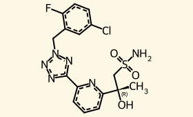 C[C@](O)(CS(N)(=O)=O)c1cccc(-c2nnn(Cc3cc(Cl)ccc3F)n2)n1